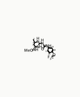 CONC1CC(C)NC(NC(=O)Nc2ccc(OC(F)(F)F)cc2)N1